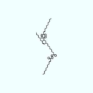 CCCCCCCCC=CC(=O)OOC(=O)CCCCCCCC1C=CC(CCCCCC)C(C(=O)OOC(=O)C=CCCCCCCCC)C1